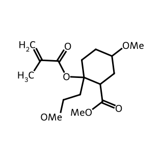 C=C(C)C(=O)OC1(CCOC)CCC(OC)CC1C(=O)OC